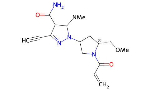 C#CC1=NN(C2C[C@H](COC)N(C(=O)C=C)C2)C(NC)C1C(N)=O